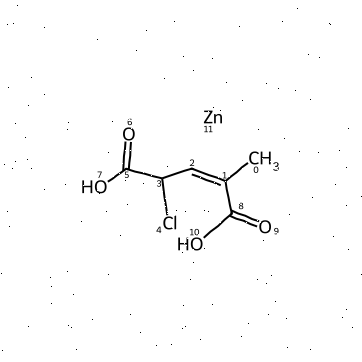 CC(=CC(Cl)C(=O)O)C(=O)O.[Zn]